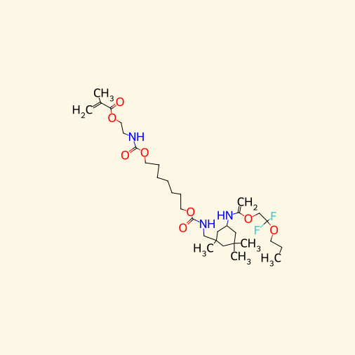 C=C(NC1CC(C)(C)CC(C)(CNC(=O)OCCCCCCCOC(=O)NCCOC(=O)C(=C)C)C1)OCC(F)(F)OCCC